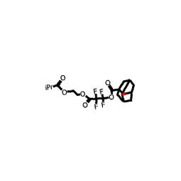 CC(C)C(=O)OCCOC(=O)C(F)(F)C(F)(F)OC(=O)C12CC3CC(CC(C3)C1)C2